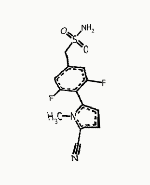 Cn1c(C#N)ccc1-c1c(F)cc(CS(N)(=O)=O)cc1F